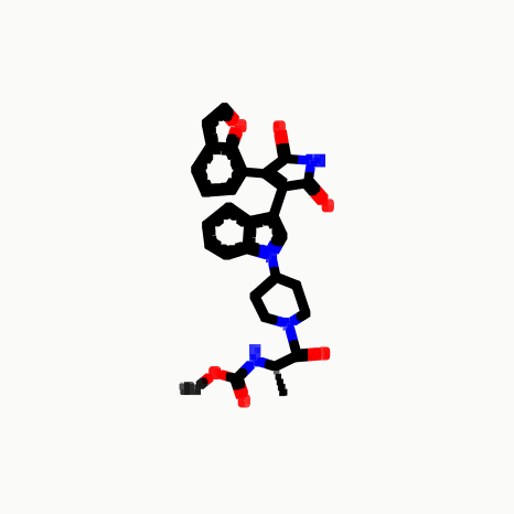 C[C@H](NC(=O)OC(C)(C)C)C(=O)N1CCC(n2cc(C3=C(c4cccc5ccoc45)C(=O)NC3=O)c3ccccc32)CC1